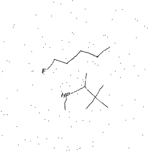 CCCCCF.CPC(C)C(C)(C)C